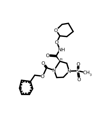 CS(=O)(=O)N1CCN(C(=O)OCc2ccccc2)[C@@H](C(=O)NOC2CCCCO2)C1